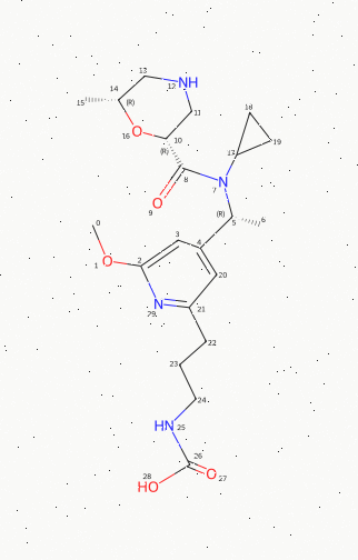 COc1cc([C@@H](C)N(C(=O)[C@H]2CNC[C@@H](C)O2)C2CC2)cc(CCCNC(=O)O)n1